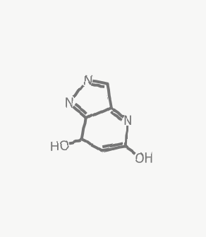 OC1=CC(O)C2=NN=CC2=N1